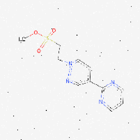 COS(=O)(=O)CC[n+]1ccc(-c2ncccn2)cn1